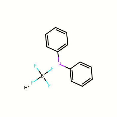 F[B-](F)(F)F.[H+].c1ccc([I+]c2ccccc2)cc1